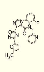 Cc1ccc(-c2noc(-c3ncn4c3c(=O)n(Cc3ccccn3)c3c(F)cccc34)n2)o1